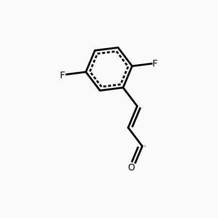 O=[C]C=Cc1cc(F)ccc1F